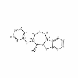 O=C1C2Cc3ccccc3N2CCCN1Cc1ccccc1